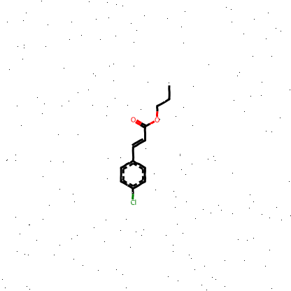 CCCOC(=O)C=Cc1ccc(Cl)cc1